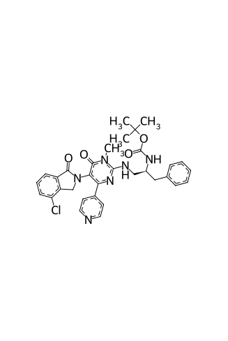 Cn1c(NC[C@H](Cc2ccccc2)NC(=O)OC(C)(C)C)nc(-c2ccncc2)c(N2Cc3c(Cl)cccc3C2=O)c1=O